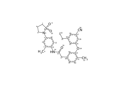 Cc1cc(N2CCCS2(=O)=O)ccc1NC(=O)Cc1ccc(C)c(Oc2cc(C#N)cc(CI)c2)c1